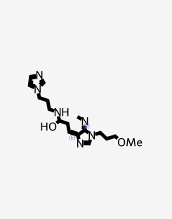 C/N=C1\C(=C/CC(O)NCCCn2ccnc2)N=CN1CCCOC